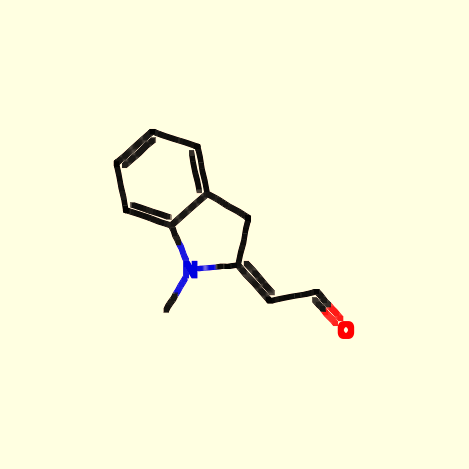 CN1/C(=C/C=O)Cc2ccccc21